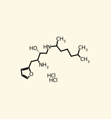 CC(C)CCCC(C)NC[C@@H](O)[C@@H](N)Cc1ccco1.Cl.Cl